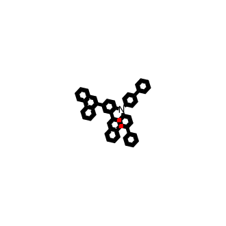 c1ccc(-c2ccc(N(c3ccc(-c4ccccc4)cc3)c3ccc(-c4cc5ccccc5c5ccccc45)cc3-c3ccc4ccccc4c3)cc2)cc1